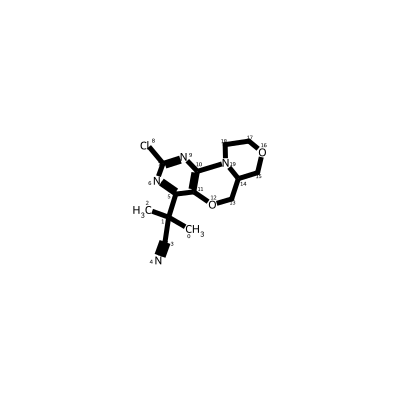 CC(C)(C#N)c1nc(Cl)nc2c1OCC1COCCN21